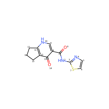 O=C(Nc1nccs1)c1c[nH]c2c(c1=O)CCC2